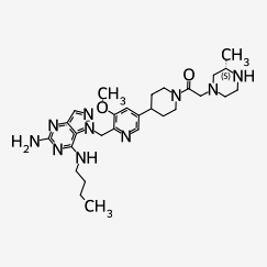 CCCCNc1nc(N)nc2cnn(Cc3ncc(C4CCN(C(=O)CN5CCN[C@@H](C)C5)CC4)cc3OC)c12